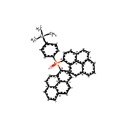 C[Si](C)(C)c1ccc(P(=O)(c2ccc3ccc4cccc5ccc2c3c45)c2ccc3ccc4cccc5ccc2c3c45)cc1